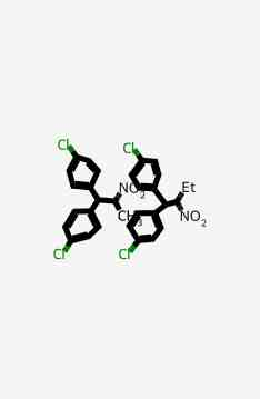 CC(C(c1ccc(Cl)cc1)c1ccc(Cl)cc1)[N+](=O)[O-].CCC(C(c1ccc(Cl)cc1)c1ccc(Cl)cc1)[N+](=O)[O-]